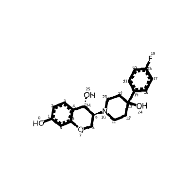 Oc1ccc2c(c1)OC[C@H](N1CCC(O)(c3ccc(F)cc3)CC1)[C@H]2O